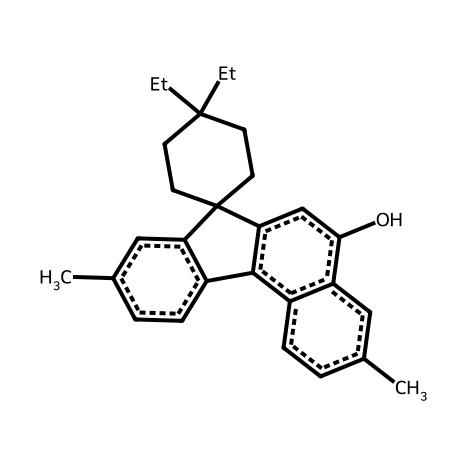 CCC1(CC)CCC2(CC1)c1cc(C)ccc1-c1c2cc(O)c2cc(C)ccc12